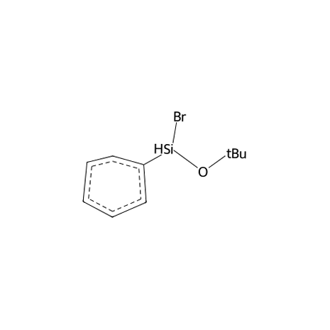 CC(C)(C)O[SiH](Br)c1ccccc1